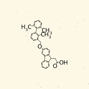 Cc1cccc(C)c1-c1cccc(COc2ccc3c(c2)-c2ccccc2C3CC(=O)O)c1C